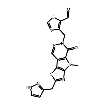 Cn1c2nc(Cc3cc[nH]n3)sc2c2cnn(Cc3ncsc3C=O)c(=O)c21